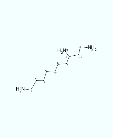 NCCCC[CH]CCC(N)CCN